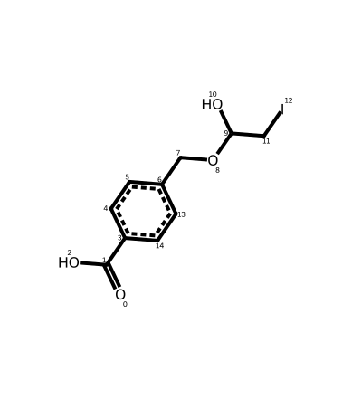 O=C(O)c1ccc(COC(O)CI)cc1